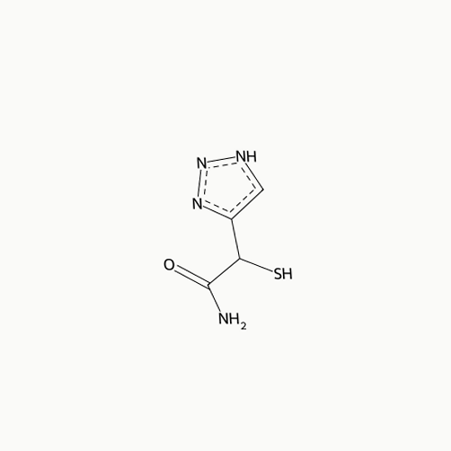 NC(=O)C(S)c1c[nH]nn1